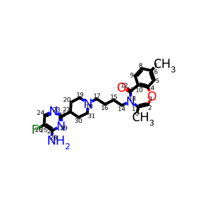 CC1=COc2cc(C)ccc2C(=O)N1CCCCN1CCC(c2ncc(F)c(N)n2)CC1